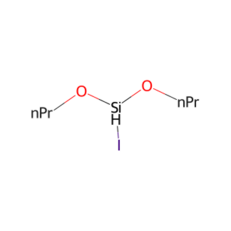 CCCO[SiH](I)OCCC